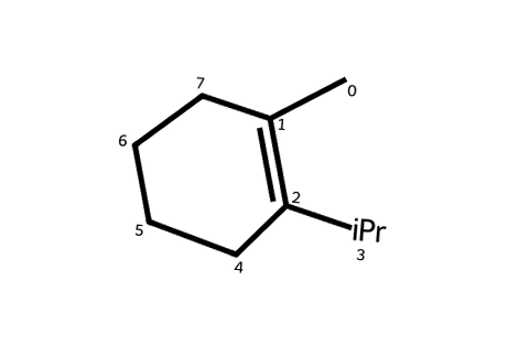 CC1=C(C(C)C)CCCC1